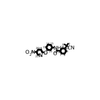 CC(C)(C#N)c1cccc(C(=O)Nc2cccc(Oc3ccc([N+](=O)[O-])cn3)c2)c1